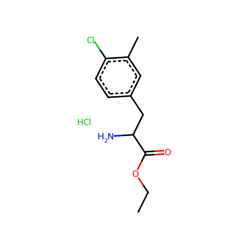 CCOC(=O)C(N)Cc1ccc(Cl)c(C)c1.Cl